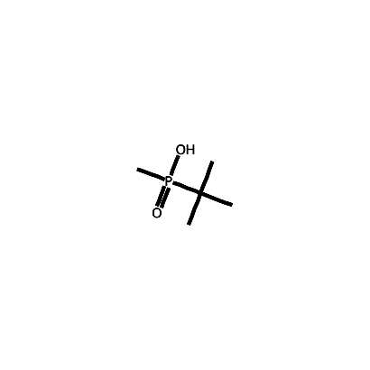 CC(C)(C)P(C)(=O)O